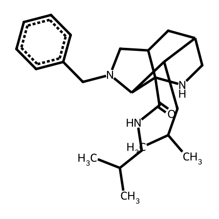 CC(C)CNC(=O)C12NCC3CC1CN(Cc1ccccc1)C2C3CC(C)C